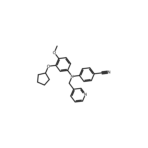 COc1ccc(N(Cc2cccnc2)c2ccc(C#N)cc2)cc1OC1CCCC1